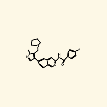 Cn1ncc(-c2ccc3cnc(NC(=O)c4ccc(F)cc4)cc3c2)c1CN1CCCC1